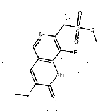 CCc1cc2cnc(CS(=O)(=O)OC)c(F)c2[nH]c1=O